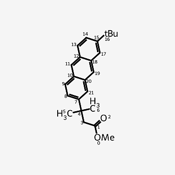 COC(=O)CC(C)(C)c1ccc2cc3ccc(C(C)(C)C)cc3cc2c1